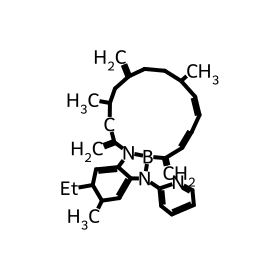 C=C1CCC(C)/C=C\C=C/C(=C)B2N(C(=C)CC(C)C1)C1=CC(CC)C(C)C=C1N2c1ccccn1